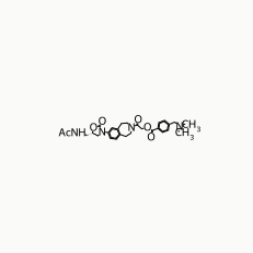 CC(=O)NC[C@H]1CN(c2ccc3c(c2)CCN(C(=O)COC(=O)c2ccc(CN(C)C)cc2)CC3)C(=O)O1